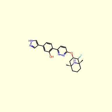 C[C@]12CCC[C@](C)(N1)[C@H](F)[C@H](Oc1ccc(-c3ccc(-c4cn[nH]c4)cc3O)nn1)C2